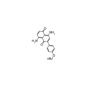 CCCCOc1ccc(C2=CC(N)=C3C(=O)C=CC(N)=C3C2=O)cc1